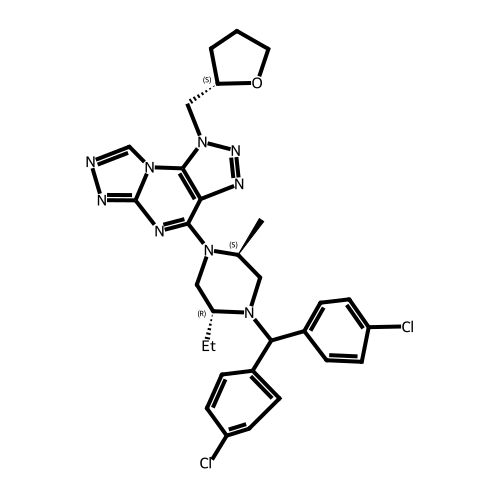 CC[C@@H]1CN(c2nc3nncn3c3c2nnn3C[C@@H]2CCCO2)[C@@H](C)CN1C(c1ccc(Cl)cc1)c1ccc(Cl)cc1